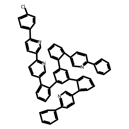 Clc1ccc(-c2ccc(-c3ccc(-c4ccccc4-c4cc(-c5ccccc5-c5ccc(-c6ccccc6)nc5)cc(-c5ccccc5-c5ccc(-c6ccccc6)nc5)c4)cn3)cn2)cc1